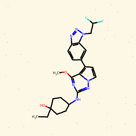 CCC1(O)CCC(Nc2nc(OC)c3c(-c4ccc5nnn(CC(F)F)c5c4)ccn3n2)CC1